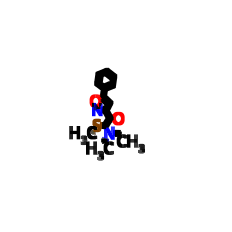 CCN(CC)C(SC)C(=O)c1cc(-c2ccccc2)on1